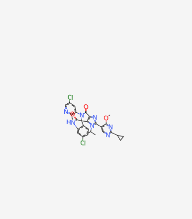 COc1nc(C2CC2)ncc1-c1nc2c(n1C(C)C)C1(C(=O)Nc3cc(Cl)ccc31)N(c1cc(Cl)cnc1C)C2=O